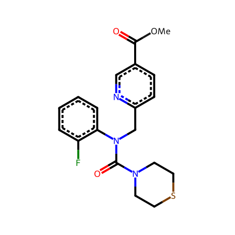 COC(=O)c1ccc(CN(C(=O)N2CCSCC2)c2ccccc2F)nc1